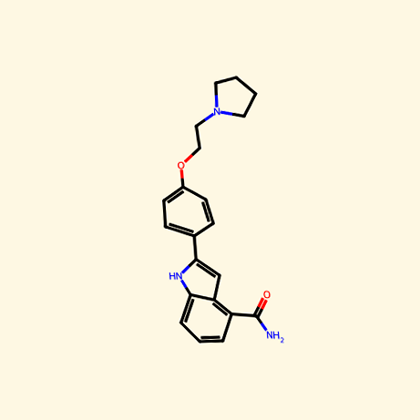 NC(=O)c1cccc2[nH]c(-c3ccc(OCCN4CCCC4)cc3)cc12